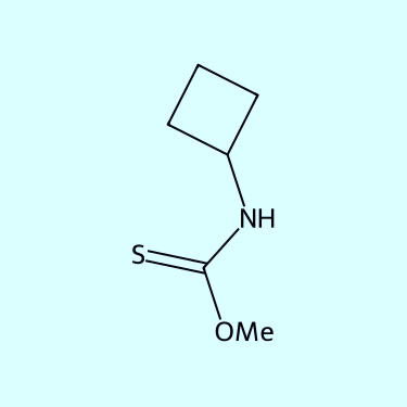 [CH2]OC(=S)NC1CCC1